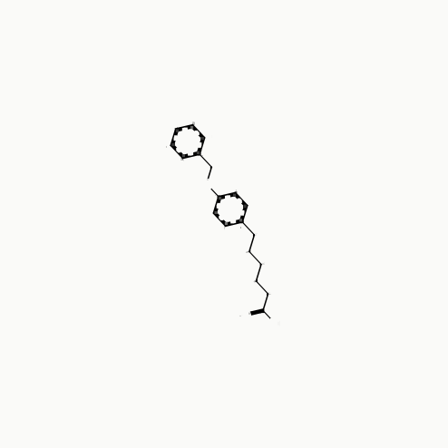 O=C(O)CCCCCc1ccc(OCc2ccccc2)cc1